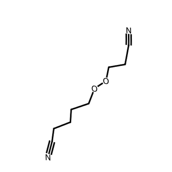 N#CCCCCOOCCC#N